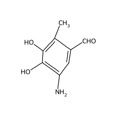 Cc1c(C=O)cc(N)c(O)c1O